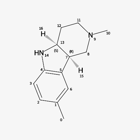 Cc1ccc2c(c1)[C@@H]1CN(C)CC[C@@H]1N2